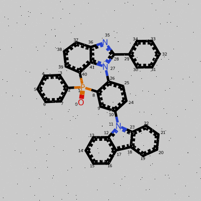 O=P1(c2ccccc2)c2cc(-n3c4ccccc4c4ccccc43)ccc2-n2c(-c3ccccc3)nc3cccc1c32